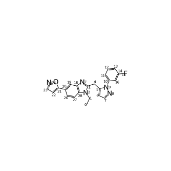 CCn1c(Cc2ccnn2-c2cccc(F)c2)nc2cc(-c3ccno3)ccc21